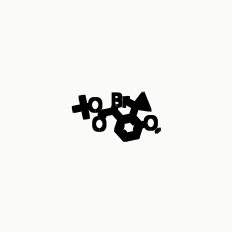 COc1cccc(C(Br)C(=O)OC(C)(C)C)c1C1(C)CC1